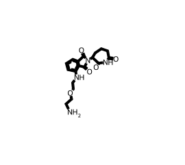 NCCOCCNc1cccc2c1C(=O)N(C1CCCC(=O)NC1=O)C2=O